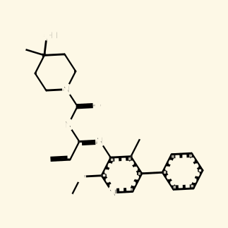 C=C/C(=N\c1c(OC)ncc(-c2ccccc2)c1C)NC(=O)N1CCC(C)(O)CC1